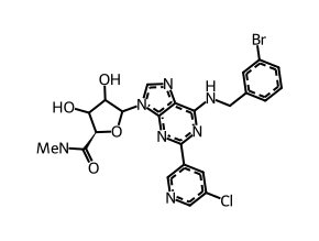 CNC(=O)[C@@H]1OC(n2cnc3c(NCc4cccc(Br)c4)nc(-c4cncc(Cl)c4)nc32)C(O)C1O